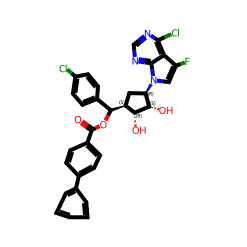 O=C(OC(c1ccc(Cl)cc1)[C@H]1C[C@@H](n2cc(F)c3c(Cl)ncnc32)[C@H](O)[C@@H]1O)c1ccc(-c2ccccc2)cc1